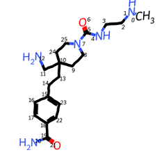 CNCCNC(=O)N1CCC(CN)(CCc2ccc(C(N)=O)cc2)CC1